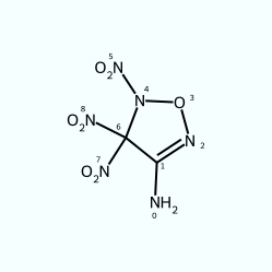 NC1=NON([N+](=O)[O-])C1([N+](=O)[O-])[N+](=O)[O-]